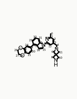 Cc1cc(CN2CC3(CNC3)C2)cc(-n2ccc3c(-c4ccc5c(c4)OCCO5)cccc32)n1